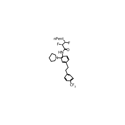 CCCCC[C@@H](F)[C@H](F)C(=O)Nc1ccc(CCc2ccc(C(F)(F)F)cc2)cc1N1CCCCC1